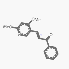 COc1cc(OC)c(/C=C/C(=O)c2ccccc2)cn1